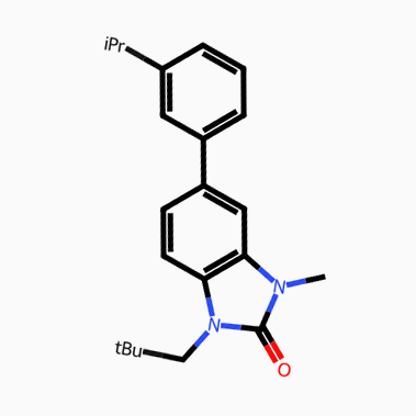 CC(C)c1cccc(-c2ccc3c(c2)n(C)c(=O)n3CC(C)(C)C)c1